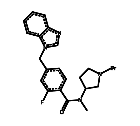 CC(C)N1CCC(N(C)C(=O)c2ccc(Cn3cnc4ccccc43)cc2F)C1